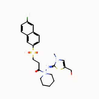 Cn1cc(CO)s/c1=N\[N+]1(C(=O)CCS(=O)(=O)c2ccc3cc(Cl)ccc3c2)CCCCC1